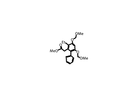 CCc1c(OCOC)cc(OCOC)c(-c2ccccc2)c1CC(=O)OC